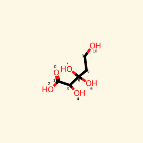 O=C(O)C(O)C(O)(O)CCO